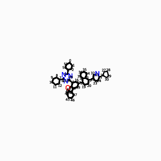 c1ccc(-c2nc(-c3ccccc3)nc(-c3cc(-c4ccc(-c5ccc(C6CCCC6)nc5)c5ccccc45)cc4c3oc3ccccc34)n2)cc1